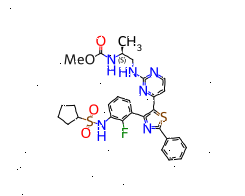 COC(=O)N[C@@H](C)CNc1nccc(-c2sc(-c3ccccc3)nc2-c2cccc(NS(=O)(=O)C3CCCC3)c2F)n1